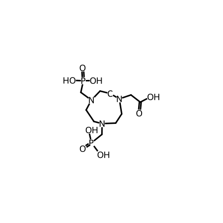 O=C(O)CN1CCN(CP(=O)(O)O)CCN(CP(=O)(O)O)CC1